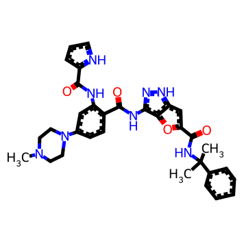 CN1CCN(c2ccc(C(=O)Nc3n[nH]c4cc(C(=O)NC(C)(C)c5ccccc5)oc34)c(NC(=O)c3ccc[nH]3)c2)CC1